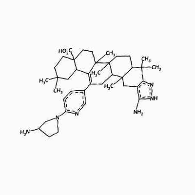 CC1(C)CCC2(C(=O)O)CCC3(C)C(=C(c4ccc(N5CCC(N)C5)nc4)CC4C5(C)Cc6c(n[nH]c6N)C(C)(C)C5CCC43C)C2C1